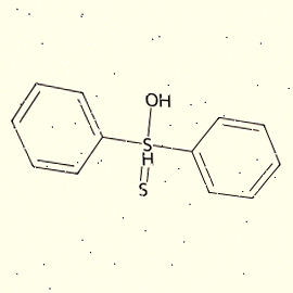 O[SH](=S)(c1ccccc1)c1ccccc1